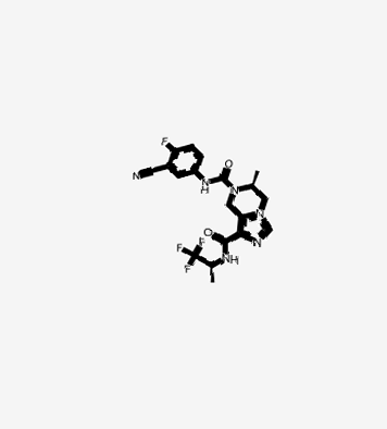 C[C@H](NC(=O)c1ncn2c1CN(C(=O)Nc1ccc(F)c(C#N)c1)[C@@H](C)C2)C(F)(F)F